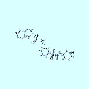 O=C(Nc1ccc2cnccc2c1)[C@@H]1C[C@H]1c1cccc(S(=O)(=O)NC[C@@H]2CCCNC2)c1